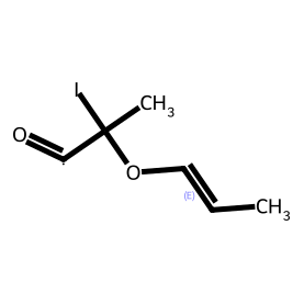 C/C=C/OC(C)(I)[C]=O